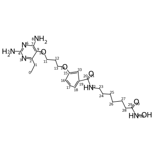 CCc1nc(N)nc(N)c1OCCCOc1cccc(C(=O)NCCCCCCC(=O)NO)c1